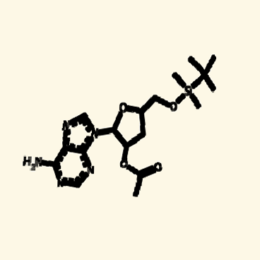 CC(=O)OC1CC(CO[Si](C)(C)C(C)(C)C)OC1n1cnc2c(N)ncnc21